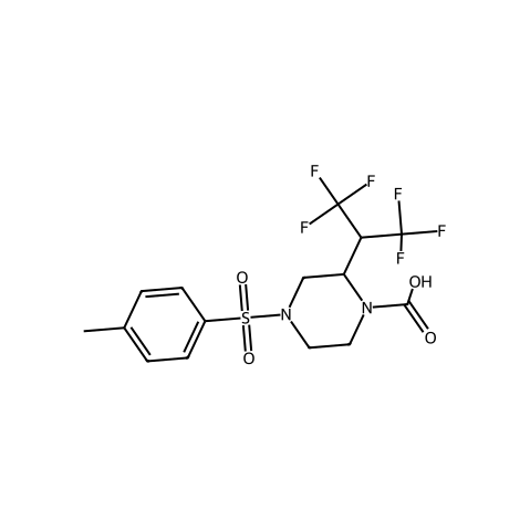 Cc1ccc(S(=O)(=O)N2CCN(C(=O)O)C(C(C(F)(F)F)C(F)(F)F)C2)cc1